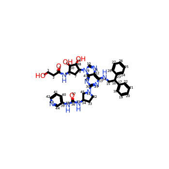 O=C(CCO)NC1CC(n2cnc3c(NCC(c4ccccc4)c4ccccc4)nc(N4CCC(NC(=O)Nc5cccnc5)C4)nc32)C(O)C1O